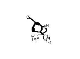 CC1(C)CNc2cc(Cl)ccc21